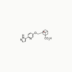 O=C(O)C12CC3CC(C1)C(COc1ccc(-c4ccn[nH]4)nc1)C=C32